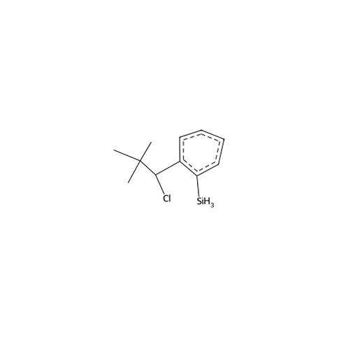 CC(C)(C)C(Cl)c1ccccc1[SiH3]